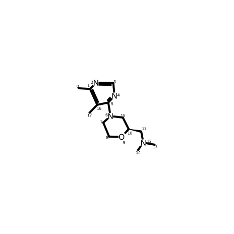 Cc1ncnc(N2CCO[C@H](CN(C)C)C2)c1C